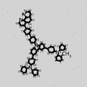 Cc1ccccc1N(c1ccccc1)c1ccc(-c2ccc3c(c2)c2cc(-c4ccc(N(c5ccccc5)c5ccccc5)cc4)ccc2n3-c2ccc(-c3ccc(-c4ccnc5c4ccc4cccnc45)cc3)cc2)cc1